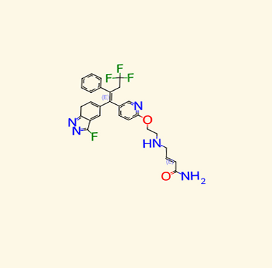 NC(=O)/C=C/CNCCOc1ccc(/C(C2=CCC3=NN=C(F)C3=C2)=C(\CC(F)(F)F)c2ccccc2)cn1